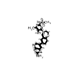 Cc1nc(NS(C)(=O)=O)nc(N2CCOc3ccc(-c4cnc5sc(N)nc5c4)cc3C2)c1C(C)C